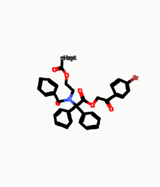 CCCCCCCC(=O)OCCN(C(=O)c1ccccc1)C(C(=O)OCC(=O)c1ccc(Br)cc1)(c1ccccc1)c1ccccc1